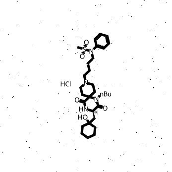 CCCCN1C(=O)[C@@H](CC2(O)CCCCC2)NC(=O)C12CCN(CCCCN(c1ccccc1)S(C)(=O)=O)CC2.Cl